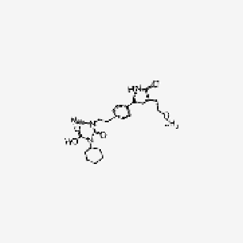 COCCc1cc(-c2ccc(CCN(C#N)C(=O)N(C(=O)O)C3CCCCC3)cc2)c[nH]c1=O